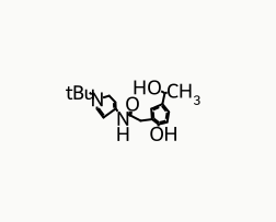 CC(O)c1ccc(O)c(CC(=O)NC2=CCN(C(C)(C)C)C=C2)c1